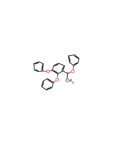 C[C](Oc1ccccc1)c1cccc(Oc2ccccc2)c1Oc1ccccc1